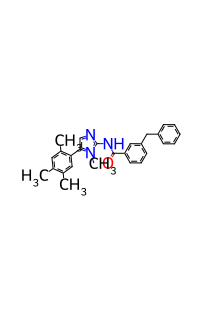 Cc1cc(C)c(-c2cnc(NC(=O)c3cccc(Cc4ccccc4)c3)n2C)cc1C